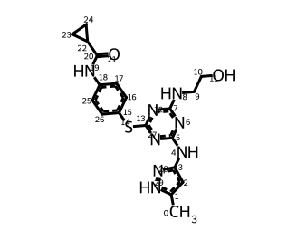 Cc1cc(Nc2nc(NCCO)nc(Sc3ccc(NC(=O)C4CC4)cc3)n2)n[nH]1